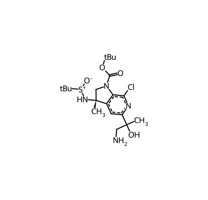 CC(C)(C)OC(=O)N1C[C@@](C)(N[S+]([O-])C(C)(C)C)c2cc(C(C)(O)CN)nc(Cl)c21